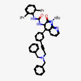 CCCCn1c(=O)c(NC(=O)Nc2c(C(C)C)cccc2C(C)C)c(-c2cccc(C#CCN(Cc3ccccc3)Cc3ccccc3)c2)c2cccnc21